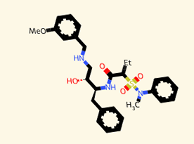 CCC(C(=O)N[C@@H](Cc1ccccc1)[C@H](O)CNCc1cccc(OC)c1)S(=O)(=O)N(C)c1ccccc1